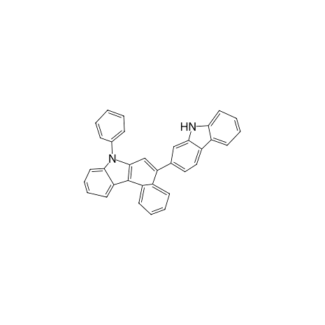 c1ccc(-n2c3ccccc3c3c4ccccc4c(-c4ccc5c(c4)[nH]c4ccccc45)cc32)cc1